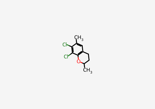 Cc1cc2c(c(Cl)c1Cl)OC(C)CC2